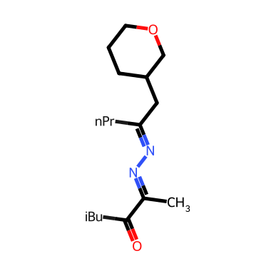 CCC/C(CC1CCCOC1)=N\N=C(/C)C(=O)C(C)CC